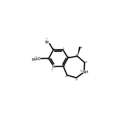 COc1nc2c(cc1Br)[C@@H](C)CNCC2